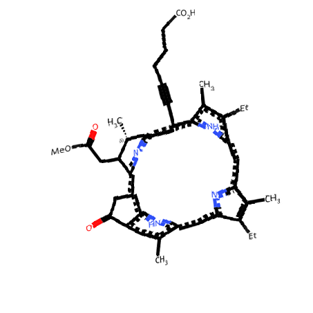 CCC1=C(C)c2cc3[nH]c(c(C)c3CC)c(C#CCCCC(=O)O)c3nc(c4c5[nH]c(cc1n2)c(C)c5C(=O)C4)C(CC(=O)OC)[C@@H]3C